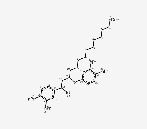 CCCCCCCCCCCCCCCCCCCCC([CH]C(CC)c1ccc(CCC)c(CCC)c1)Cc1ccc(CCC)c(CCC)c1